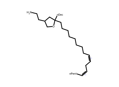 CCCCC/C=C\C/C=C\CCCCCCCCC1(CCCCCCCCCC)CC(CCN)CO1